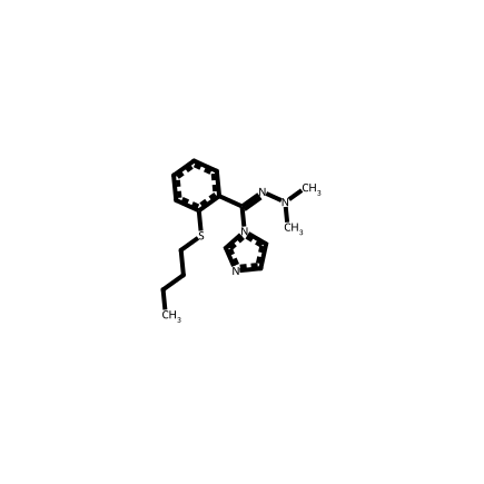 CCCCSc1ccccc1C(=NN(C)C)n1ccnc1